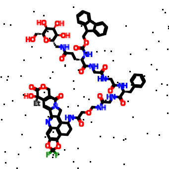 CC[C@@]1(O)C(=O)OCc2c1cc1n(c2=O)Cc2c-1nc1cc3c(c4c1c2[C@@H](NC(=O)COCNC(=O)CNC(=O)[C@H](Cc1ccccc1)NC(=O)CNC(=O)CNC(=O)[C@H](CCC(=O)NC[C@@H]1O[C@H](CO)[C@@H](O)[C@H](O)[C@H]1O)NC(=O)OCC1c2ccccc2-c2ccccc21)CC4)OC(F)(F)O3